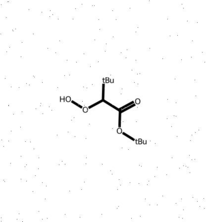 CC(C)(C)OC(=O)C(OO)C(C)(C)C